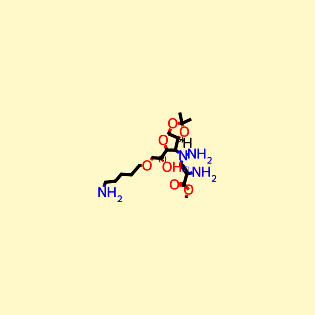 COC(=O)/C(N)=C/N(N)C1C([C@H](O)COCCCCCN)OC2OC(C)(C)O[C@H]21